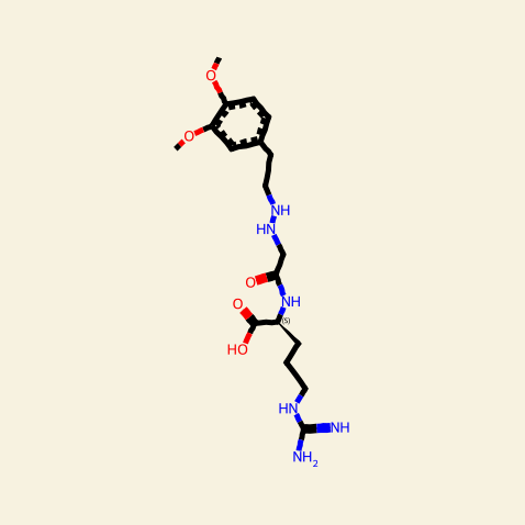 COc1ccc(CCNNCC(=O)N[C@@H](CCCNC(=N)N)C(=O)O)cc1OC